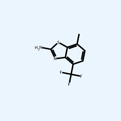 Cc1ccc(C(F)(F)F)c2nc(N)sc12